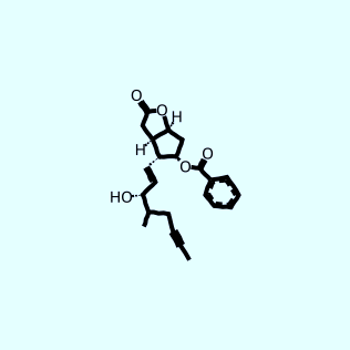 CC#CCC(C)[C@H](O)/C=C/[C@@H]1[C@H]2CC(=O)O[C@H]2C[C@H]1OC(=O)c1ccccc1